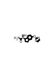 NC(=O)N(O)C1CCc2cc(Oc3nccs3)ccc21